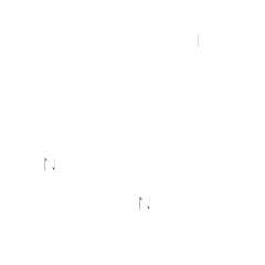 Ic1ccn2ccnc2c1